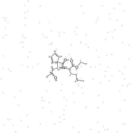 CCOC(=O)C(CCSC)NC(=O)C1(CSC(C)=O)C=CC=C1